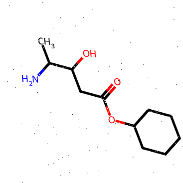 CC(N)C(O)CC(=O)OC1CCCCC1